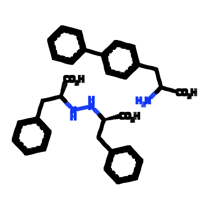 NC(Cc1ccc(-c2ccccc2)cc1)C(=O)O.O=C(O)[C@H](Cc1ccccc1)NN[C@@H](Cc1ccccc1)C(=O)O